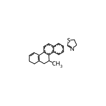 C1=NCCS1.CC1CC2=C(C=CCC2)c2ccc3ccccc3c21